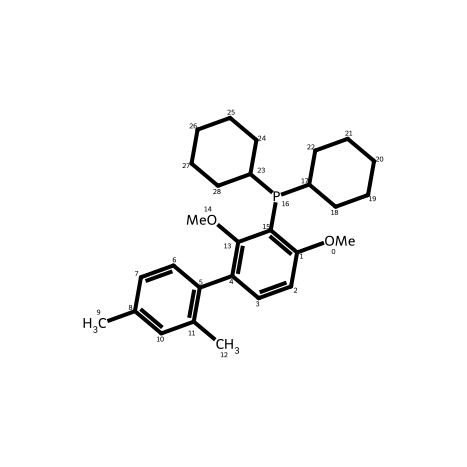 COc1ccc(-c2ccc(C)cc2C)c(OC)c1P(C1CCCCC1)C1CCCCC1